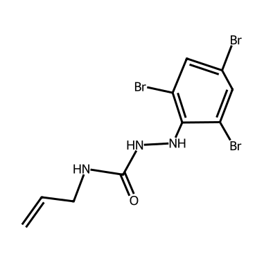 C=CCNC(=O)NNc1c(Br)cc(Br)cc1Br